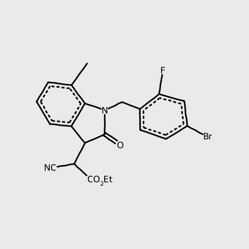 CCOC(=O)C(C#N)C1C(=O)N(Cc2ccc(Br)cc2F)c2c(C)cccc21